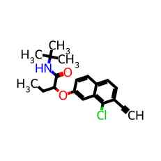 C#Cc1ccc2ccc(OC(CC)C(=O)NC(C)(C)C)cc2c1Cl